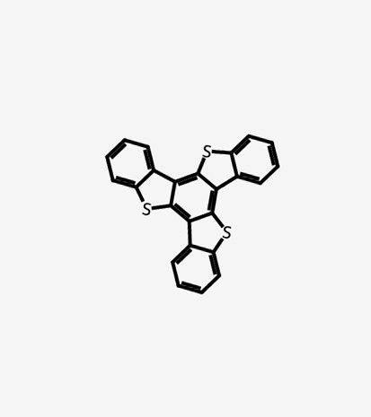 c1ccc2c(c1)sc1c2c2sc3ccccc3c2c2sc3ccccc3c12